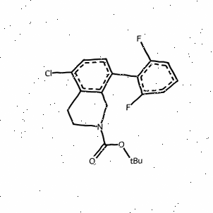 CC(C)(C)OC(=O)N1CCc2c(Cl)ccc(-c3c(F)cccc3F)c2C1